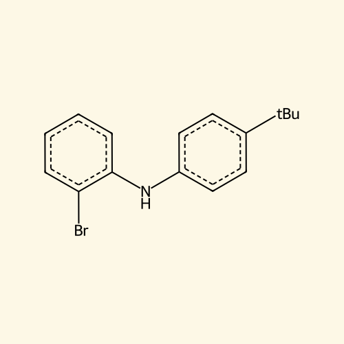 CC(C)(C)c1ccc(Nc2ccccc2Br)cc1